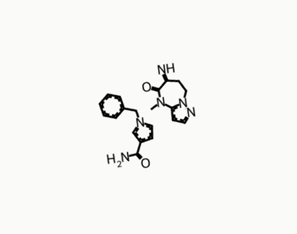 CN1C(=O)C(=N)CCn2nccc21.NC(=O)c1ccn(Cc2ccccc2)c1